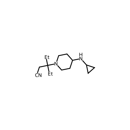 CCC(CC)(CC#N)N1CCC(NC2CC2)CC1